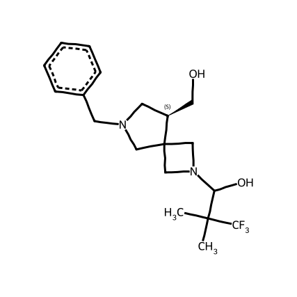 CC(C)(C(O)N1CC2(CN(Cc3ccccc3)C[C@H]2CO)C1)C(F)(F)F